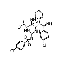 C[C@H](O)[C@@H](N/C(=N\S(=O)(=O)c1ccc(Cl)cc1)NC[C@@H](C(=N)c1ccc(Cl)cc1)c1ccccc1)C(N)=O